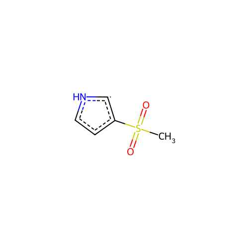 CS(=O)(=O)c1[c][nH]cc1